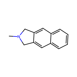 CN1Cc2cc3ccccc3cc2C1